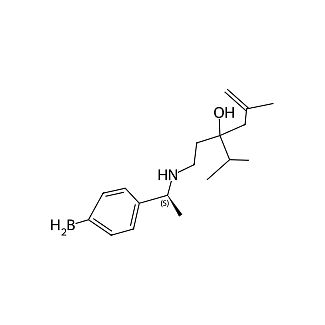 Bc1ccc([C@H](C)NCCC(O)(CC(=C)C)C(C)C)cc1